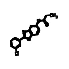 CCC(=O)Oc1ccc2oc(-c3cccc(Cl)c3)nc2c1